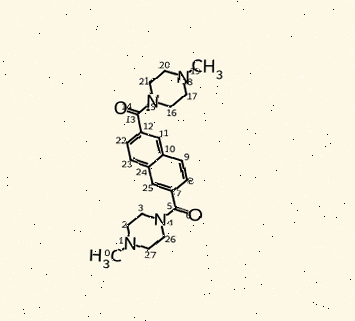 CN1CCN(C(=O)c2ccc3cc(C(=O)N4CCN(C)CC4)ccc3c2)CC1